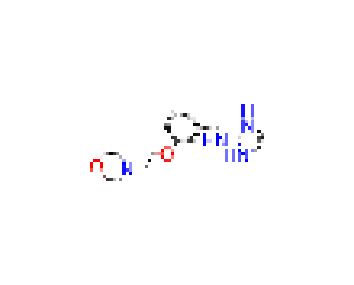 C1=CNC(NCc2cccc(OCCN3CCOCC3)c2)N1